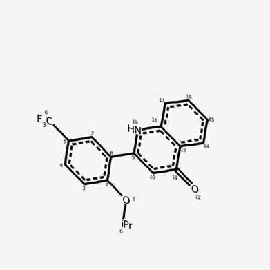 CC(C)Oc1ccc(C(F)(F)F)cc1-c1cc(=O)c2ccccc2[nH]1